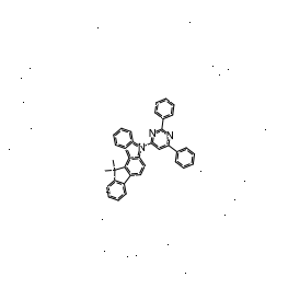 CC1(C)c2ccccc2-c2ccc3c(c21)c1ccccc1n3-c1cc(-c2ccccc2)nc(-c2ccccc2)n1